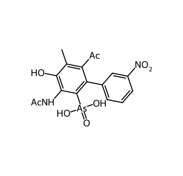 CC(=O)Nc1c(O)c(C)c(C(C)=O)c(-c2cccc([N+](=O)[O-])c2)c1[As](=O)(O)O